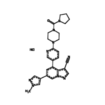 Cl.Cn1cc(-c2cc(-c3ccc(N4CCN(C(=O)N5CCCC5)CC4)nc3)c3c(C#N)cnn3c2)cn1